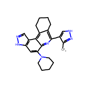 FC(F)(F)c1n[nH]cc1-c1nc2c(N3CCCCC3)cc3[nH]ncc3c2c2c1CCCC2